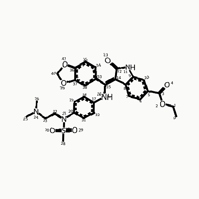 CCOC(=O)c1ccc2c(c1)NC(=O)C2=C(Nc1ccc(N(CCN(C)C)S(C)(=O)=O)cc1)c1ccc2c(c1)OCO2